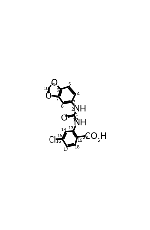 O=C(Nc1ccc2c(c1)OCO2)Nc1cc(Cl)ccc1C(=O)O